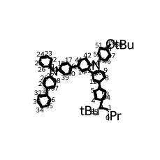 CC(C)CC(c1ccc(-c2ccc3c(c2)c2cc(-c4ccc(N(c5ccccc5)c5ccc(-c6ccccc6)cc5)cc4)ccc2n3-c2ccc(OC(C)(C)C)cc2)cc1)C(C)(C)C